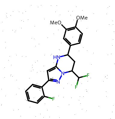 COc1ccc(C2CC(C(F)F)n3nc(-c4cc[c]cc4F)cc3N2)cc1OC